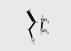 N[SiH3].[Li][CH2]C=C